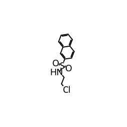 O=S(=O)(NCCCl)c1ccc2ccccc2c1